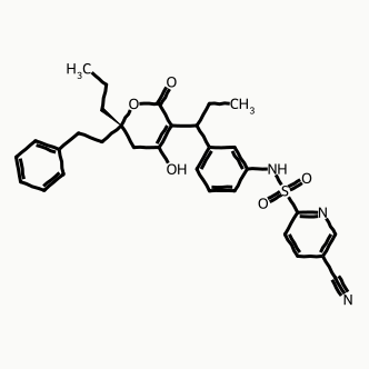 CCC[C@]1(CCc2ccccc2)CC(O)=C(C(CC)c2cccc(NS(=O)(=O)c3ccc(C#N)cn3)c2)C(=O)O1